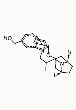 CC(CN1[C@@H]2CC[C@H]1CC(OCC1CC1)C2)Cn1ncc2ccc(CO)cc21